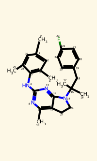 Cc1cc(C)c(Nc2nc(C)c3c(n2)N(C(C)(C)Cc2ccc(F)cc2)CC3)c(C)c1